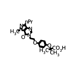 CCCc1nn(C)c2c(=O)n(CCOc3ccc(OC(C)(C)C(=O)O)cc3)cnc12